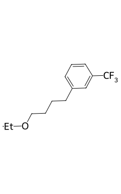 C[CH]OCCCCc1cccc(C(F)(F)F)c1